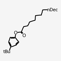 CCCCCCCCCCCCCCCCCC(=O)Oc1ccc(C(C)(C)C)cc1